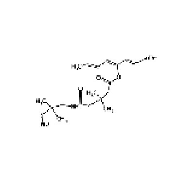 C/C=C/C=C(/C=C/CCCCCCCCCC)OC(=O)CC(C)(C)CC(=O)NCC(C)(C)SN=O